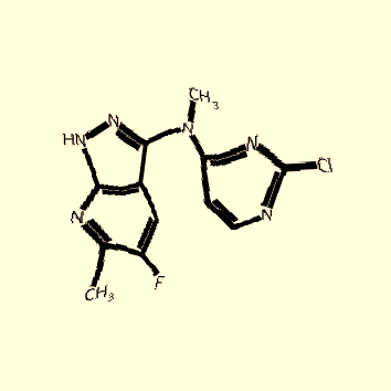 Cc1nc2[nH]nc(N(C)c3ccnc(Cl)n3)c2cc1F